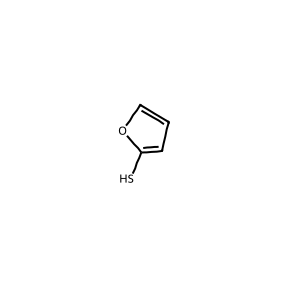 Sc1ccco1